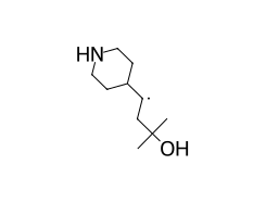 CC(C)(O)C[CH]C1CCNCC1